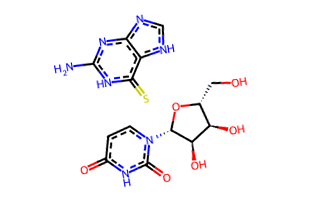 Nc1nc2nc[nH]c2c(=S)[nH]1.O=c1ccn([C@@H]2O[C@H](CO)[C@@H](O)[C@H]2O)c(=O)[nH]1